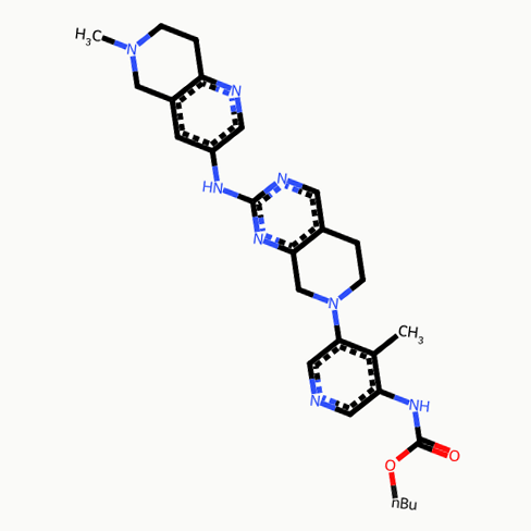 CCCCOC(=O)Nc1cncc(N2CCc3cnc(Nc4cnc5c(c4)CN(C)CC5)nc3C2)c1C